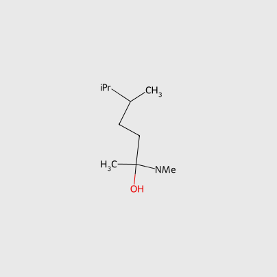 CNC(C)(O)CCC(C)C(C)C